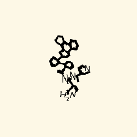 C=C(/N=C(\N=C(/C)c1ccncc1)C(/C=C\N)=C/C)c1ccccc1-c1ccccc1-c1ccc2c(c1)c1c(c3ccccc32)CCCC1